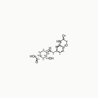 O=C1COc2ccc(CN[C@@H]3CC[C@@H](C(=O)O)C[C@H]3O)nc2N1